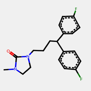 CN1CCN(CCCC(c2ccc(F)cc2)c2ccc(F)cc2)C1=O